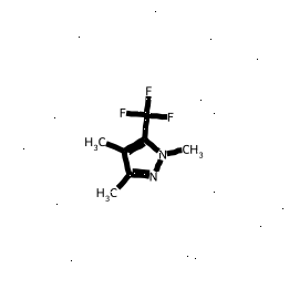 Cc1nn(C)c(C(F)(F)F)c1C